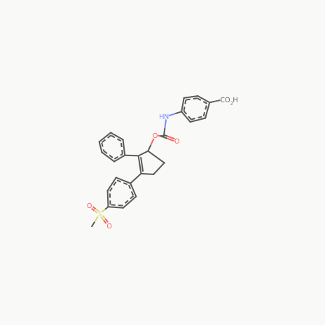 CS(=O)(=O)c1ccc(C2=C(c3ccccc3)C(OC(=O)Nc3ccc(C(=O)O)cc3)CC2)cc1